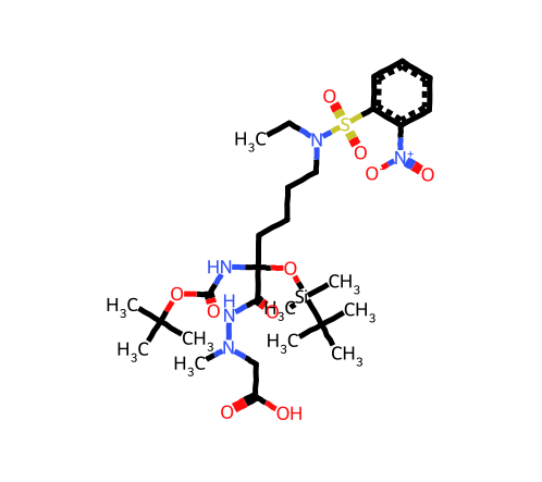 CCN(CCCCC(NC(=O)OC(C)(C)C)(O[Si](C)(C)C(C)(C)C)C(=O)NN(C)CC(=O)O)S(=O)(=O)c1ccccc1[N+](=O)[O-]